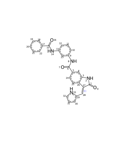 O=C1Nc2cc(C(=O)Nc3cccc(NC(=O)c4ccccc4)c3)ccc2/C1=C\c1ccc[nH]1